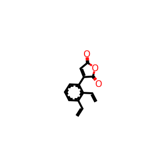 C=Cc1cccc(C2=CC(=O)OC2=O)c1C=C